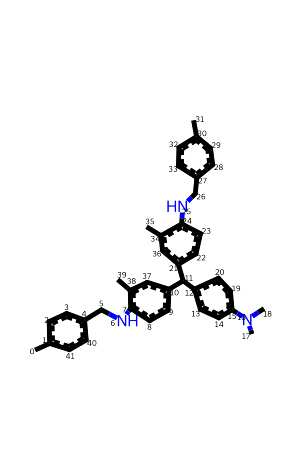 Cc1ccc(CNc2ccc(C(c3ccc(N(C)C)cc3)c3ccc(NCc4ccc(C)cc4)c(C)c3)cc2C)cc1